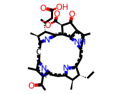 CC[C@H]1c2cc3[nH]c4c(c3C)C(=O)[C@H](C(=O)OC)c4c3nc(cc4[nH]c(cc(n2)[C@@H]1C)c(C(C)=O)c4C)[C@@H](C)[C@@H]3CCC(=O)O